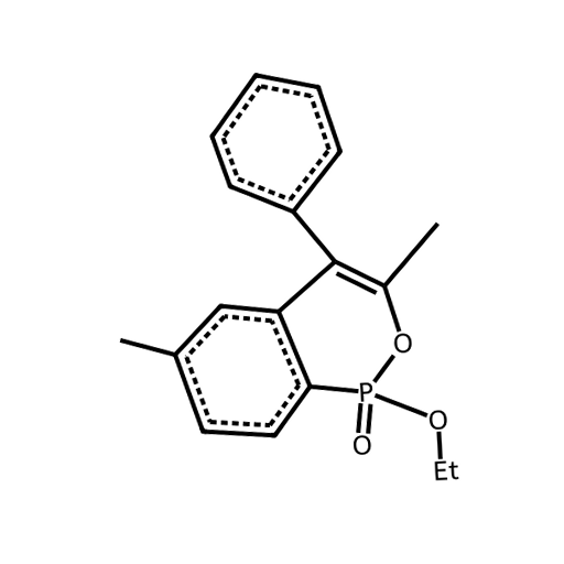 CCOP1(=O)OC(C)=C(c2ccccc2)c2cc(C)ccc21